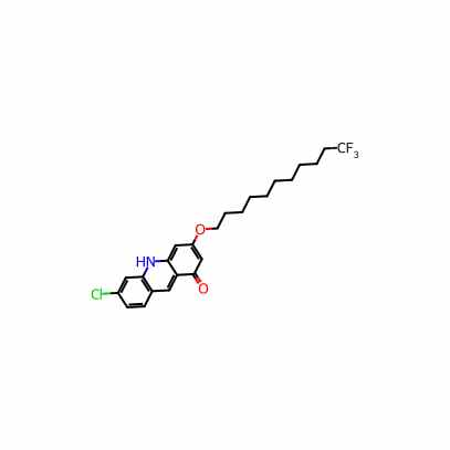 O=c1cc(OCCCCCCCCCCC(F)(F)F)cc2[nH]c3cc(Cl)ccc3cc1-2